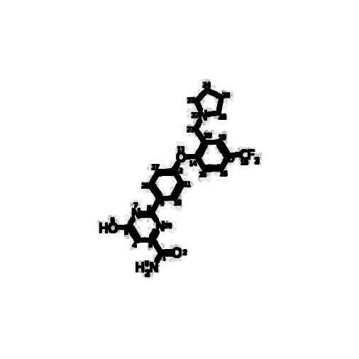 NC(=O)c1cc(O)nc(-c2ccc(Oc3ccc(C(F)(F)F)cc3CN3CCCC3)cc2)n1